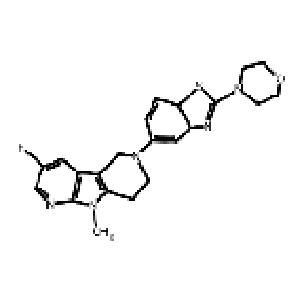 Cn1c2c(c3cc(F)cnc31)CN(C1=CC3N=C(N4CCOCC4)SC3C=C1)CC2